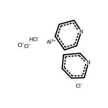 Cl.[Al+3].[Cl-].[Cl-].[Cl-].c1ccncc1.c1ccncc1